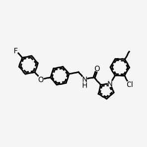 Cc1ccc(-n2cccc2C(=O)NCc2ccc(Oc3ccc(F)cc3)cc2)c(Cl)c1